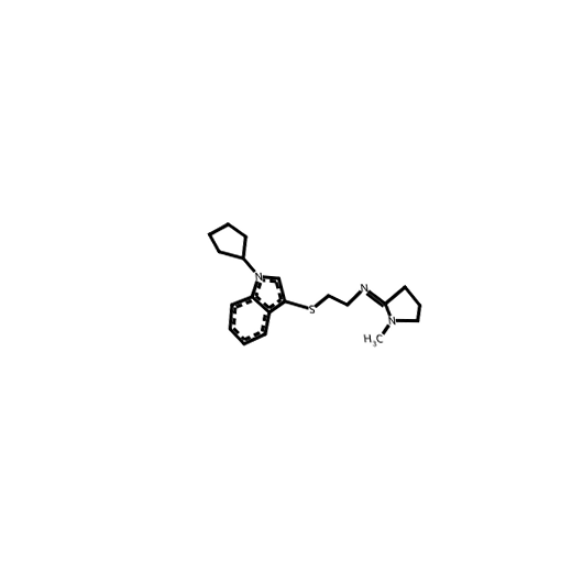 CN1CCCC1=NCCSc1cn(C2CCCC2)c2ccccc12